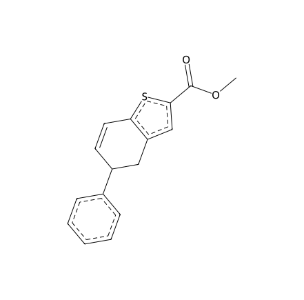 COC(=O)c1cc2c(s1)C=CC(c1ccccc1)C2